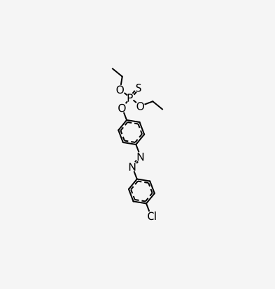 CCOP(=S)(OCC)Oc1ccc(N=Nc2ccc(Cl)cc2)cc1